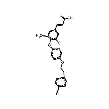 Cc1cc(/C=C/C(=O)O)cc(Cl)c1Oc1ccc(OCCc2ccc(Cl)cc2)cn1